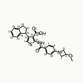 COC1CN(c2ccc(C(=O)Nc3scc(C4CCc5ccccc54)c3C(=O)O)cc2)C1